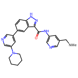 CNCc1cncc(NC(=O)c2n[nH]c3ccc(-c4cncc(N5CCCCC5)c4)cc23)c1